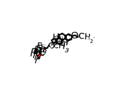 [CH2]COc1ccc2c(c1)CC[C@@H]1[C@@H]2CC[C@]2(C)[C@@H](OCCCOC(C(F)(F)F)(C(F)(F)F)C(F)(F)F)CC[C@@H]12